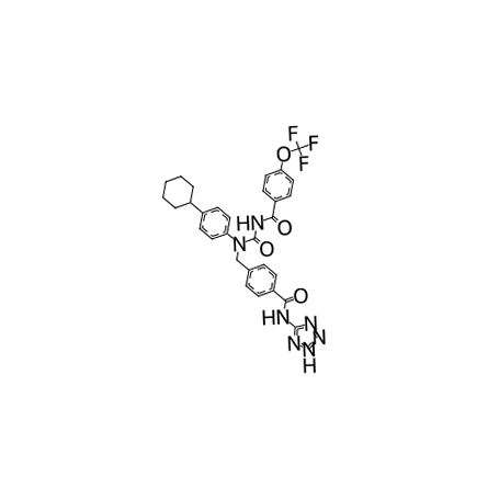 O=C(NC(=O)N(Cc1ccc(C(=O)Nc2nn[nH]n2)cc1)c1ccc(C2CCCCC2)cc1)c1ccc(OC(F)(F)F)cc1